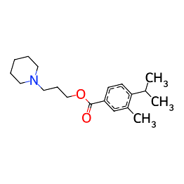 Cc1cc(C(=O)OCCCN2CCCCC2)ccc1C(C)C